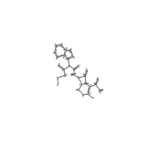 CCOC(=O)C(C(=O)NC1C(=O)N2C(C(=O)O)=C(C)CSC12)n1ccc2ccccc21